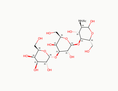 CC(=O)N[C@H]1C(O)O[C@H](CO)[C@@H](O[C@@H]2O[C@H](CO)[C@H](O)[C@H](O[C@H]3O[C@H](CO)[C@H](O)[C@H](O)[C@H]3O)[C@H]2O)[C@@H]1O